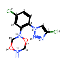 Clc1ccc(-n2cc(Cl)nn2)c(N2CONCO2)c1